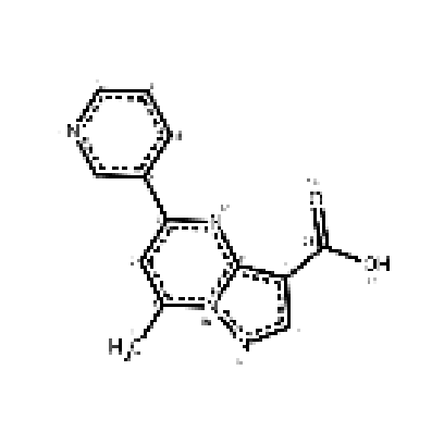 Cc1cc(-c2cccnc2)nc2c(C(=O)O)cnn12